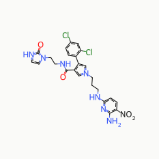 Nc1nc(NCCCn2cc(C(=O)NCCn3cc[nH]c3=O)c(-c3ccc(Cl)cc3Cl)c2)ccc1[N+](=O)[O-]